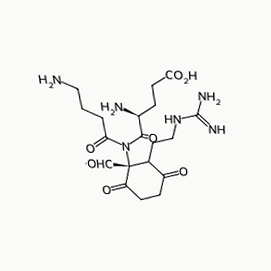 N=C(N)NCCC1C(=O)CCC(=O)[C@]1([C]=O)N(C(=O)CCCN)C(=O)[C@@H](N)CCC(=O)O